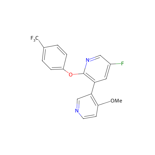 COc1ccncc1-c1cc(F)cnc1Oc1ccc(C(F)(F)F)cc1